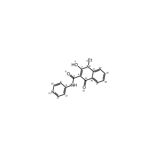 CCn1c(O)c(C(=O)Nc2ccncc2)c(=O)c2ccccc21